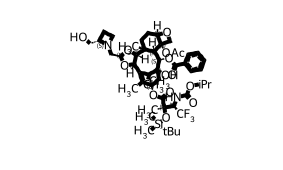 CC(=O)O[C@@]12CO[C@@H]1CC[C@@]1(C)[C@@H]3O[C@H](CN4CC[C@H]4CO)O[C@@H]3C3=C(C)[C@@H](OC(=O)[C@](C)(O[Si](C)(C)C(C)(C)C)[C@@H](NC(=O)OC(C)C)C(F)(F)F)C[C@@](O)([C@@H](OC(=O)c4ccccc4)[C@@H]12)C3(C)C